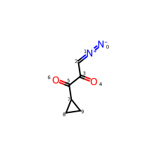 [N-]=[N+]=CC(=O)C(=O)C1CC1